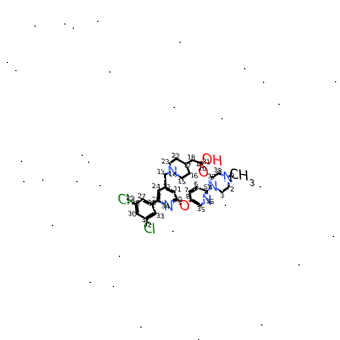 CN1CCN(c2ccc(Oc3cc(CN4CCC(CC(=O)O)CC4)cc(-c4cc(Cl)cc(Cl)c4)n3)cn2)CC1